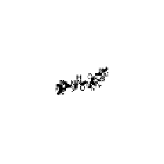 Cc1nc(Cn2c(=O)c3c(ncn3CC(=O)Nc3csc(-c4cnc(C)c(C(C)(F)F)c4)n3)n(C)c2=O)no1